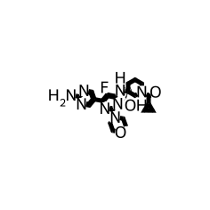 Nc1ncc(-c2nc(N3CCOCC3)nc(N[C@@]3(CO)CCCN(C(=O)C4CC4)C3)c2F)cn1